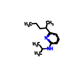 CCCC(C)c1cccc(NC(C)C)n1